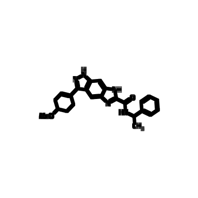 COC1CC=C(c2n[nH]c3cc4[nH]c(C(=O)NC(C)c5ccccc5)nc4cc23)CC1